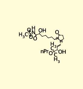 CCCOC(C)(C)C(O)C=C[C@H]1CCC(=O)[C@@H]1CCCCCC(O)C(=O)NS(C)(=O)=O